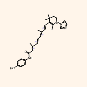 CC1=C(/C=C/C(C)=C/C=C/C(C)=C/C(=O)Nc2ccc(O)cc2)C(C)(C)CC[C@H]1n1ccnc1